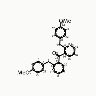 COc1ccc(Cc2ncccc2C(=O)c2cccnc2Cc2ccc(OC)cc2)cc1